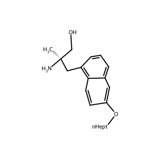 CCCCCCCOc1ccc2c(C[C@@](C)(N)CO)cccc2c1